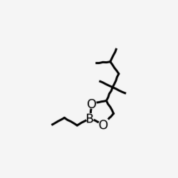 CCCB1OCC(C(C)(C)CC(C)C)O1